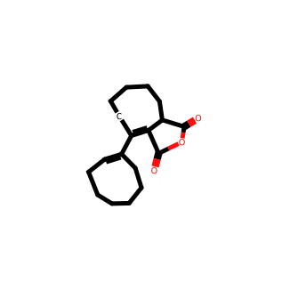 O=C1OC(=O)C2CCCCCC(C3=CCCCCCC3)=C12